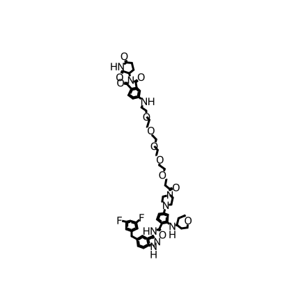 O=C1CCC(N2C(=O)c3ccc(NCCOCCOCCOCCOCCOCCC(=O)N4CCN(c5ccc(C(=O)Nc6n[nH]c7ccc(Cc8cc(F)cc(F)c8)cc67)c(NC6CCOCC6)c5)CC4)cc3C2=O)C(=O)N1